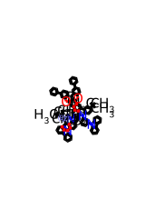 C=C/C(=C\C(=C(/C)N1c2cc(-n3c4ccccc4c4ccccc43)ccc2B2c3ccc(-n4c5ccccc5c5ccccc54)cc3N(c3ccc(C(C)(C)C)cc3-c3ccccc3)c3cc(-c4cc5c6c(c4)Oc4ccc(-c7ccccc7)cc4B6c4ccc(-c6ccccc6)cc4O5)cc1c32)c1ccccc1)C(C)(C)C